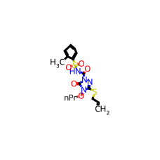 C=CCSc1nn(C(=O)NS(=O)(=O)c2ccccc2C)c(=O)n1OCCC